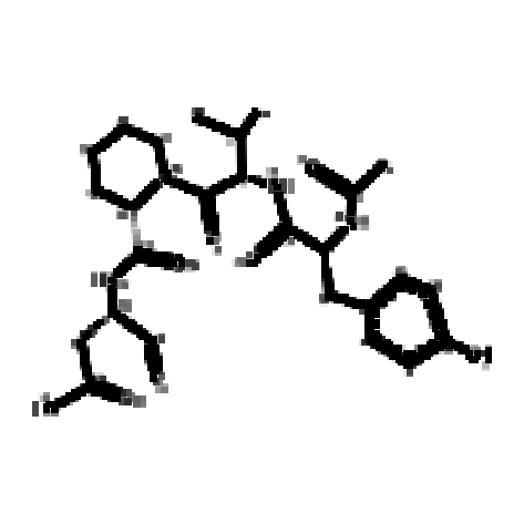 CC(=O)N[C@@H](Cc1ccc(O)cc1)C(=O)N[C@H](C(=O)N1CCCC[C@H]1C(=O)N[C@H](C=O)CC(=O)O)C(C)C